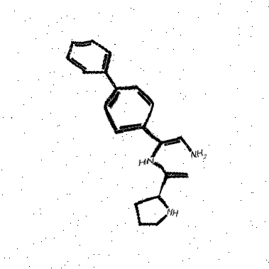 C=C(N/C(=C\N)c1ccc(-c2ccccc2)cc1)[C@@H]1CCCN1